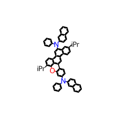 CC(C)c1ccc2c(c1)c(N(c1ccccc1)c1ccc3ccccc3c1)cc1c3ccc(C(C)C)c4c3c(cc21)-c1ccc(N(c2ccccc2)c2ccc3ccccc3c2)cc1O4